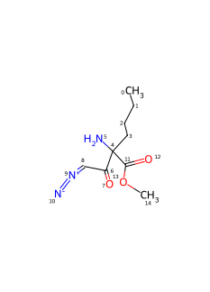 CCCCC(N)(C(=O)C=[N+]=[N-])C(=O)OC